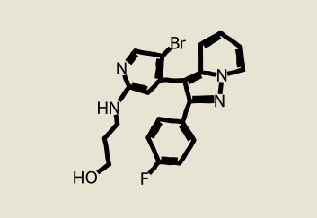 OCCCNc1cc(-c2c(-c3ccc(F)cc3)nn3ccccc23)c(Br)cn1